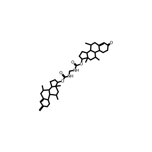 C=C1C=C2CC(C)C3C(C(C)CC4(C)C(OC(=O)NCNC(=O)OC5CCC6C7C(C)CC8=CC(=O)CCC8C7C(C)CC56C)CCC34)C2CC1